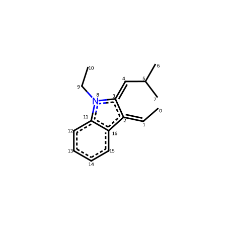 C/C=c1\c(=C/C(C)C)n(CC)c2ccccc12